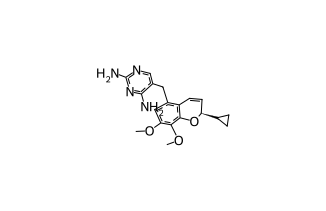 COc1cc(Cc2cnc(N)nc2N)c2c(c1OC)O[C@H](C1CC1)C=C2